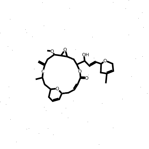 C=C1CC(C)CC2CC=CC(C/C=C\C(=O)OC(C(O)C=CC3CC(C)=CCO3)CC3OC3C(OC)C1)O2